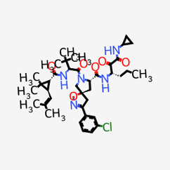 CCC[C@H](NC(=O)[C@@H]1C[C@]2(CC(c3cccc(Cl)c3)=NO2)CN1C(=O)[C@@H](NC(=O)[C@@H]1[C@@H](C=C(C)C)C1(C)C)C(C)(C)C)C(=O)C(=O)NC1CC1